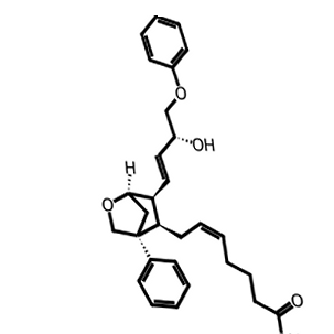 O=C(O)CCC/C=C\C[C@@H]1[C@H](/C=C/[C@@H](O)COc2ccccc2)[C@H]2C[C@]1(c1ccccc1)CO2